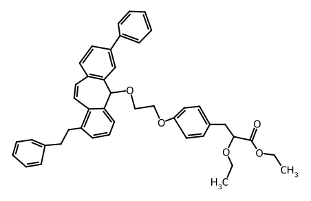 CCOC(=O)C(Cc1ccc(OCCOC2c3cc(-c4ccccc4)ccc3C=Cc3c(CCc4ccccc4)cccc32)cc1)OCC